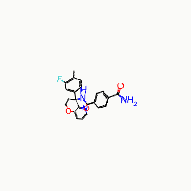 Cc1ccc([C@@]2(NC(=O)c3ccc(C(N)=O)cc3)CCOc3cccnc32)cc1F